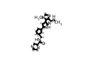 CNc1nc2[nH]c(-c3cccc(CNC(=O)c4cnccn4)c3)cc2c2c1ncn2C